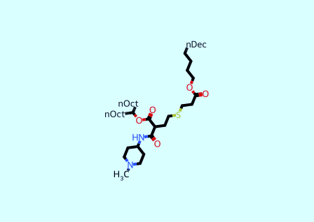 CCCCCCCCCCCCCCOC(=O)CCSCCC(C(=O)NC1CCN(C)CC1)C(=O)OC(CCCCCCCC)CCCCCCCC